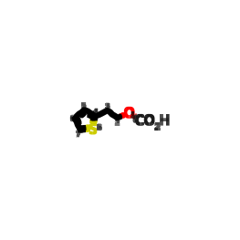 O=C(O)OCCc1cccs1